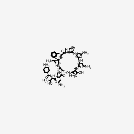 CC(C)C[C@@H]1NC(=O)[C@@H](Cc2ccccc2)NC(=O)[C@H](CCN)NC(=O)[C@@H](NC(=O)[C@H](CCN)NC(=O)[C@@H](NC(=O)[C@H]2CC[C@H](N)CC2)C(C)O)CCNC(=O)C(C(C)O)NC(=O)[C@H](CCN)NC(=O)[C@H](CCN)NC1=O